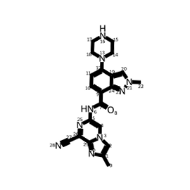 Cc1cn2cc(NC(=O)c3ccc(N4CCNCC4)c4cn(C)nc34)nc(C#N)c2n1